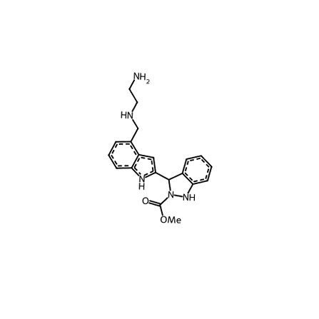 COC(=O)N1Nc2ccccc2C1c1cc2c(CNCCN)cccc2[nH]1